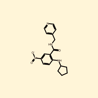 O=C(NCc1ccncc1)c1cc([N+](=O)[O-])ccc1NC1CCCC1